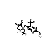 COCc1nn2c(C(F)(F)F)c(C[N+]3(CC(F)(F)Cl)CCN(C)C3=O)nc2s1